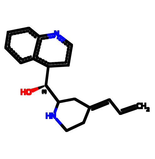 C=CC=C1CCNC([C@H](O)c2ccnc3ccccc23)C1